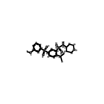 COc1cccc(S(=O)(=O)c2ccc(C(C)C)c(S(=O)(=O)NC3CCOCC3)c2)c1